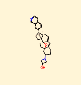 C[C@]12CC=C3C=C4CC[C@@H](N5CC(O)C5)C[C@]45CC[C@]3(O5)[C@@H]1CC[C@@H]2c1ccc2ccncc2c1